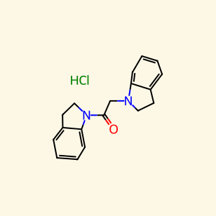 Cl.O=C(CN1CCc2ccccc21)N1CCc2ccccc21